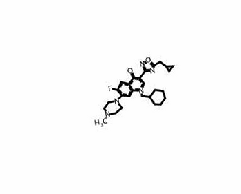 CN1CCN(c2cc3c(cc2F)c(=O)c(-c2noc(CC4CC4)n2)cn3CC2CCCCC2)CC1